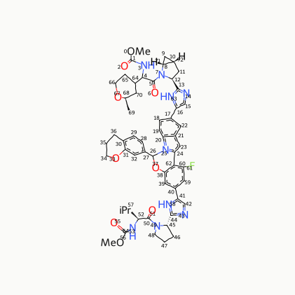 COC(=O)NC(C(=O)N1[C@@H]2C[C@@H]2C[C@H]1c1ncc(-c2ccc3c(c2)cc2n3C(c3ccc4c(c3)OCCC4)Oc3cc(-c4cnc([C@@H]5CCCN5C(=O)[C@@H](NC(=O)OC)C(C)C)[nH]4)cc(F)c3-2)[nH]1)C1CCO[C@H](C)C1